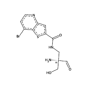 N[C@](C=O)(CO)CNC(=O)c1cc2nccc(Br)c2s1